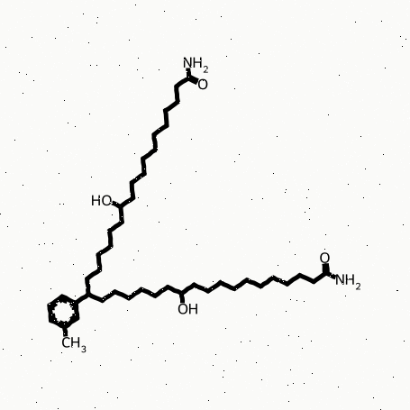 Cc1cccc(C(CCCCCCC(O)CCCCCCCCCCC(N)=O)CCCCCCC(O)CCCCCCCCCCC(N)=O)c1